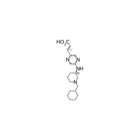 O=C(O)/C=C/c1cnc(N[C@@H]2CCCN(CC3CCCCC3)C2)cn1